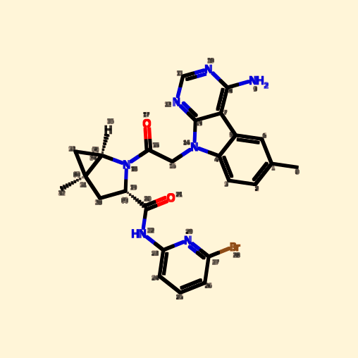 Cc1ccc2c(c1)c1c(N)ncnc1n2CC(=O)N1[C@H](C(=O)Nc2cccc(Br)n2)C[C@@]2(C)C[C@@H]12